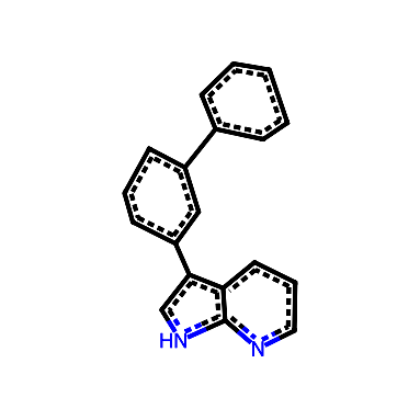 c1ccc(-c2cccc(-c3c[nH]c4ncccc34)c2)cc1